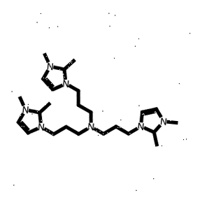 CC1N(C)C=CN1CCCN(CCCN1C=CN(C)C1C)CCCN1C=CN(C)C1C